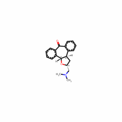 CN(C)C[C@H]1C[C@@H]2c3ccccc3C(=O)c3ccccc3[C@H]2O1